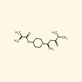 C=C(C)C(=O)OC1CCN(C(=C)CC(=O)N(C)C)CC1